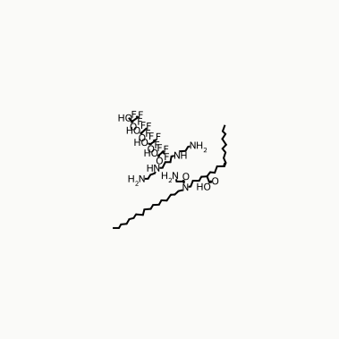 CCCCCCCC/C=C\CCCC(CCCCN(CCCCCCCCCCCCCCCCCC)C(=O)CN)C(=O)O.NCCCNCCCCNCCCN.O=C(O)C(F)(F)F.O=C(O)C(F)(F)F.O=C(O)C(F)(F)F.O=C(O)C(F)(F)F